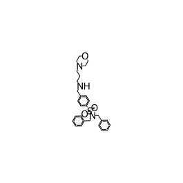 O=S(=O)(c1ccc(CNCCCN2CCOCC2)cc1)N(Cc1ccccc1)Cc1ccccc1